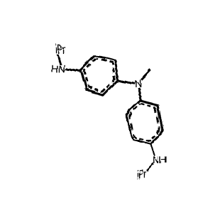 CC(C)Nc1ccc(N(C)c2ccc(NC(C)C)cc2)cc1